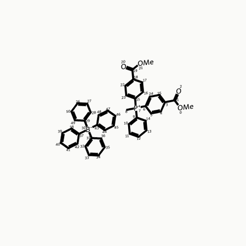 COC(=O)c1ccc([P+](C)(c2ccccc2)c2ccc(C(=O)OC)cc2)cc1.c1ccc([B-](c2ccccc2)(c2ccccc2)c2ccccc2)cc1